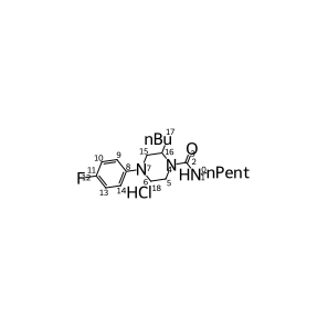 CCCCCNC(=O)N1CCN(c2ccc(F)cc2)CC1CCCC.Cl